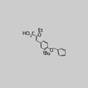 CCO/C(=C\c1ccc(OCc2ccccc2)c(C(C)(C)C)c1)C(=O)O